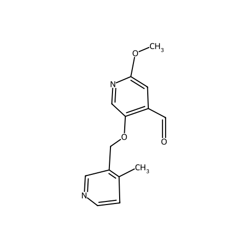 COc1cc(C=O)c(OCc2cnccc2C)cn1